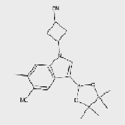 Cc1cc2c(cc1C#N)c(B1OC(C)(C)C(C)(C)O1)cn2C1CC(C#N)C1